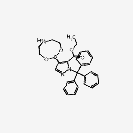 CCOC(=O)c1c(B2OCCNCCO2)cnn1C(c1ccccc1)(c1ccccc1)c1ccccc1